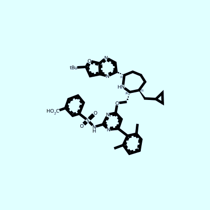 Cc1cccc(C)c1-c1cc(OC[C@@H]2N[C@H](c3cnc4oc(C(C)(C)C)cc4n3)CCC[C@H]2CC2CC2)nc(NS(=O)(=O)c2cccc(C(=O)O)c2)n1